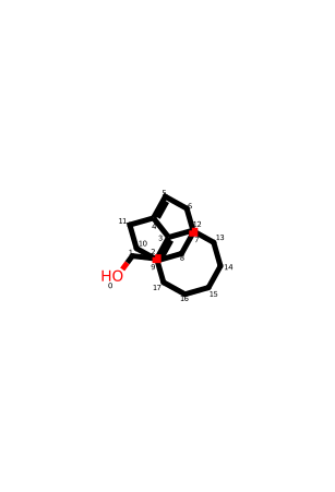 OC/C1=C(\C2=C/CCCCCC2)CCCCCC1